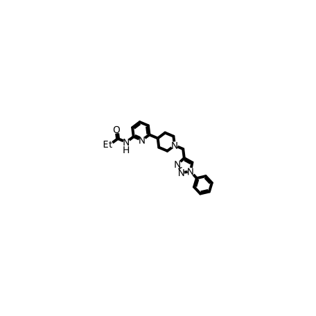 CCC(=O)Nc1cccc(C2CCN(Cc3cn(-c4ccccc4)nn3)CC2)n1